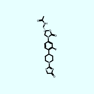 CC(=O)NC[C@H]1CN(c2ccc(C3CCN(C4=NC(=O)CS4)CC3)c(F)c2)C(=O)O1